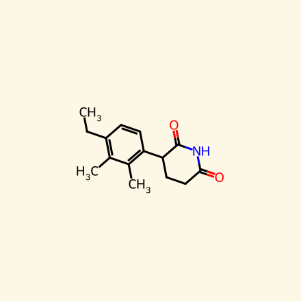 CCc1ccc(C2CCC(=O)NC2=O)c(C)c1C